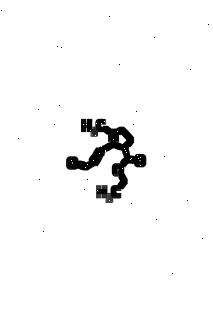 CCOC(=O)C1CCN(C)C1C#CC=O